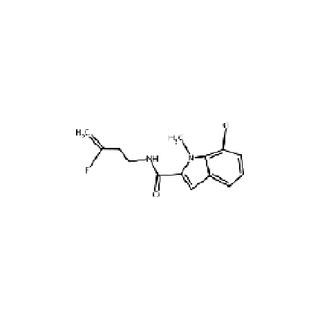 C=C(F)CCNC(=O)c1cc2cccc(Cl)c2n1C